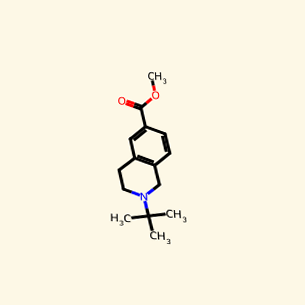 COC(=O)c1ccc2c(c1)CCN(C(C)(C)C)C2